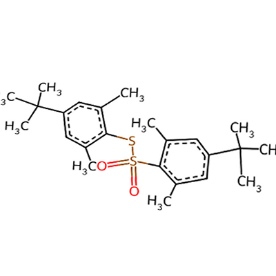 Cc1cc(C(C)(C)C)cc(C)c1SS(=O)(=O)c1c(C)cc(C(C)(C)C)cc1C